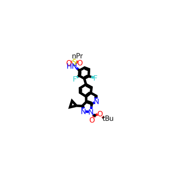 CCCS(=O)(=O)Nc1ccc(F)c(-c2ccc3c(cnc4c3c(C3CC3)nn4C(=O)OC(C)(C)C)c2)c1F